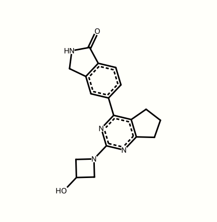 O=C1NCc2cc(-c3nc(N4CC(O)C4)nc4c3CCC4)ccc21